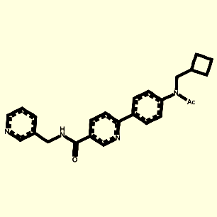 CC(=O)N(CC1CCC1)c1ccc(-c2ccc(C(=O)NCc3cccnc3)cn2)cc1